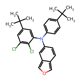 CC(C)(C)c1ccc(N(c2ccc3cocc3c2)c2cc(C(C)(C)C)cc(Cl)c2Cl)cc1